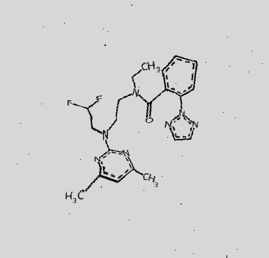 CCN(CCN(CC(F)F)c1nc(C)cc(C)n1)C(=O)c1ccccc1-n1nccn1